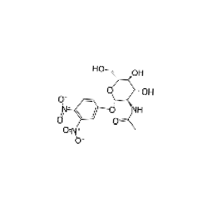 CC(=O)N[C@H]1[C@H](Oc2ccc([N+](=O)[O-])c([N+](=O)[O-])c2)O[C@H](CO)[C@@H](O)[C@@H]1O